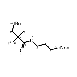 CCCCCCCCCCCCOC(=O)C(C)(CC(C)(C)C)C(C)C